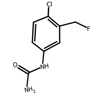 NC(=O)Nc1ccc(Cl)c(CF)c1